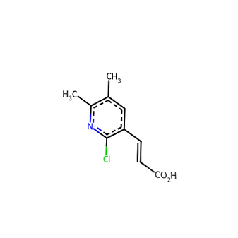 Cc1cc(C=CC(=O)O)c(Cl)nc1C